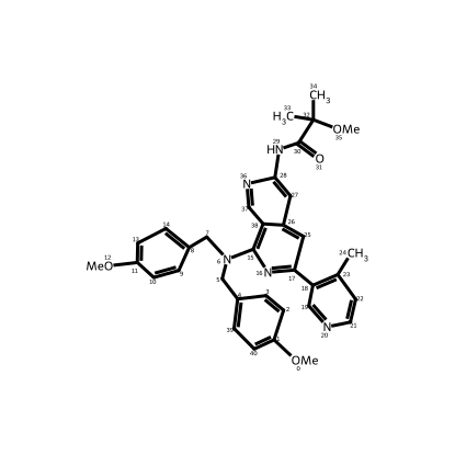 COc1ccc(CN(Cc2ccc(OC)cc2)c2nc(-c3cnccc3C)cc3cc(NC(=O)C(C)(C)OC)ncc23)cc1